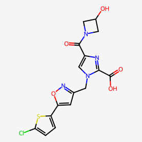 O=C(O)c1nc(C(=O)N2CC(O)C2)cn1Cc1cc(-c2ccc(Cl)s2)on1